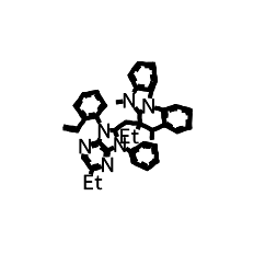 C=Cc1ccccc1N1c2ncc(CC)nc2N(c2ccccc2)C1CC1(CC)C(C)c2ccccc2N2c3ccccc3N(C)C21